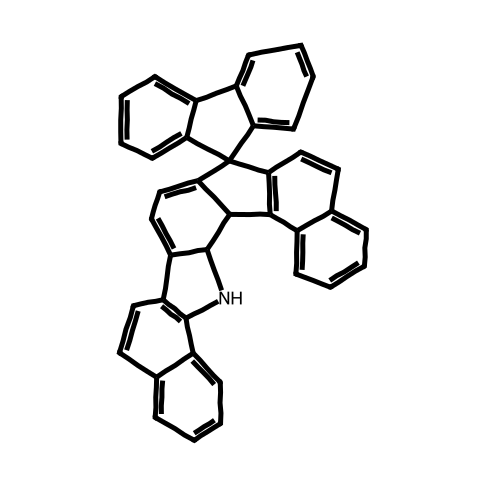 C1=C2c3ccc4ccccc4c3NC2C2C(=C1)C1(c3ccccc3-c3ccccc31)c1ccc3ccccc3c12